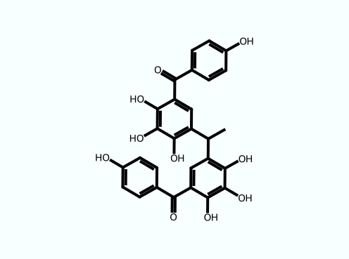 CC(c1cc(C(=O)c2ccc(O)cc2)c(O)c(O)c1O)c1cc(C(=O)c2ccc(O)cc2)c(O)c(O)c1O